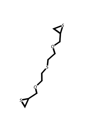 C(CSCCOCC1CS1)OCC1CS1